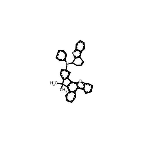 CC1(C)c2ccc(N(c3ccccc3)C3CC=Cc4c3sc3ccccc43)cc2-c2c1c1ccccc1c1c2oc2ccccc21